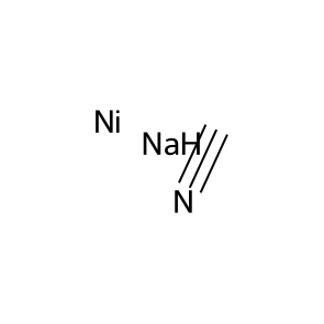 C#N.[NaH].[Ni]